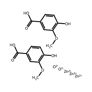 COc1cc(C(=O)O)ccc1O.COc1cc(C(=O)O)ccc1O.[O-2].[O-2].[Zn+2].[Zn+2].[Zn+2]